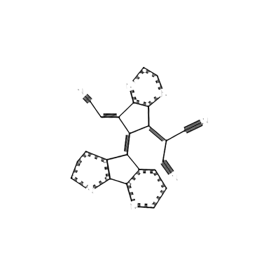 N#C/C=C1/C(=C2c3cccnc3-c3ncccc32)C(=C(C#N)C#N)c2nccnc21